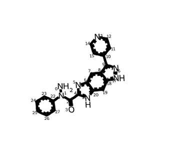 NN(C(=O)c1nc2cc3c(-c4ccncc4)n[nH]c3cc2[nH]1)c1ccccc1